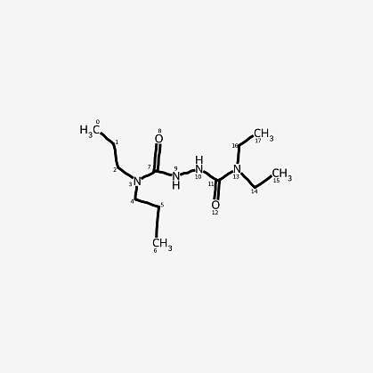 CCCN(CCC)C(=O)NNC(=O)N(CC)CC